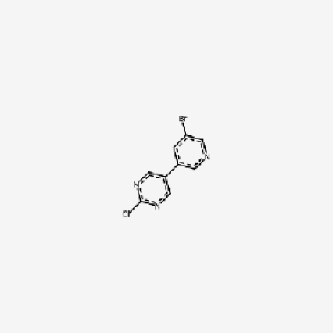 Clc1ncc(-c2cncc(Br)c2)cn1